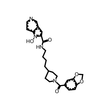 O=C(NCCCCC1CCN(C(=O)c2ccc3c(c2)OCO3)CC1)c1cc2cnccc2n1O